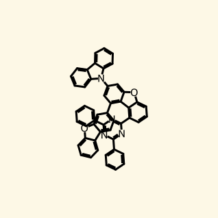 c1ccc(-c2nc(-c3ccccc3)nc(-c3cccc4oc5cc(-n6c7ccccc7c7ccccc76)cc(-c6ccc7c(c6)oc6ccccc67)c5c34)n2)cc1